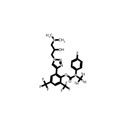 [2H]C([2H])([2H])N(C(=O)Oc1c(-c2cn(CC(O)CN(C)C)nn2)cc(C(F)(F)F)cc1C(F)(F)F)c1ccc(F)cc1